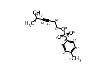 Cc1ccc(S(=O)(=O)OCCC#CC(C)C)cc1